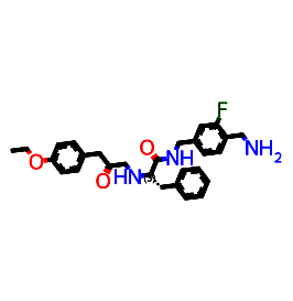 CCOc1ccc(CC(=O)CN[C@@H](Cc2ccccc2)C(=O)NCc2ccc(CN)c(F)c2)cc1